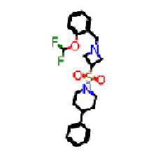 O=S(=O)(C1CN(Cc2ccccc2OC(F)F)C1)N1CCC(c2ccccc2)CC1